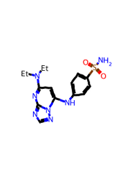 CCN(CC)c1cc(Nc2ccc(S(N)(=O)=O)cc2)n2ncnc2n1